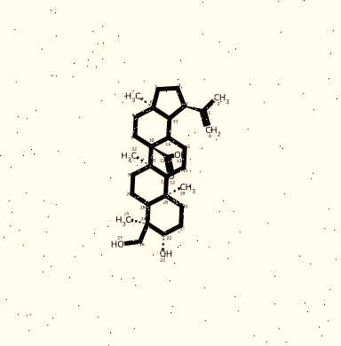 C=C(C)[C@@H]1CC[C@]2(C)CC[C@]3(C(=O)O)C(CCC4[C@@]5(C)CC[C@H](O)[C@@](C)(CO)C5CC[C@]43C)C12